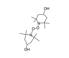 CC1(C)CC(O)CC(C)(C)N1OON1C(C)(C)CC(O)CC1(C)C